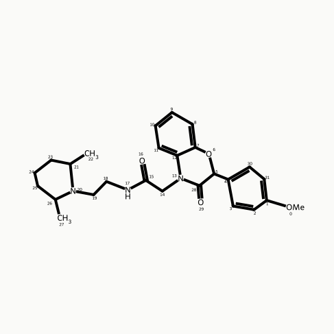 COc1ccc(C2Oc3ccccc3N(CC(=O)NCCN3C(C)CCCC3C)C2=O)cc1